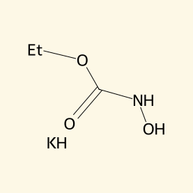 CCOC(=O)NO.[KH]